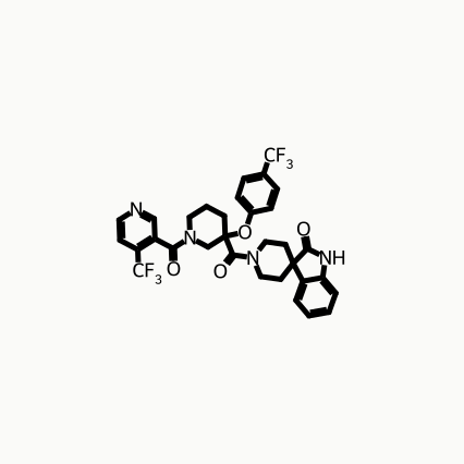 O=C(c1cnccc1C(F)(F)F)N1CCCC(Oc2ccc(C(F)(F)F)cc2)(C(=O)N2CCC3(CC2)C(=O)Nc2ccccc23)C1